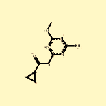 COc1nc(N)nc(CC(=O)C2CC2)n1